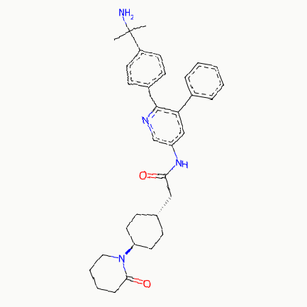 CC(C)(N)c1ccc(-c2ncc(NC(=O)C[C@H]3CC[C@H](N4CCCCC4=O)CC3)cc2-c2ccccc2)cc1